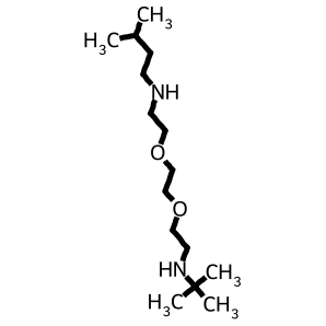 CC(C)CCNCCOCCOCCNC(C)(C)C